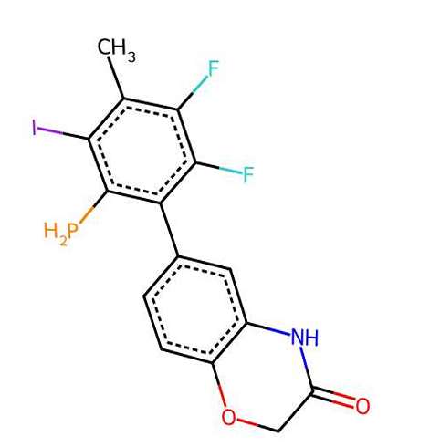 Cc1c(F)c(F)c(-c2ccc3c(c2)NC(=O)CO3)c(P)c1I